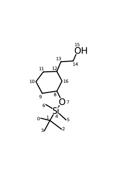 CC(C)(C)[Si](C)(C)OC1CCCC(CCO)C1